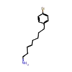 NCCCCCCCCc1ccc(Br)cc1